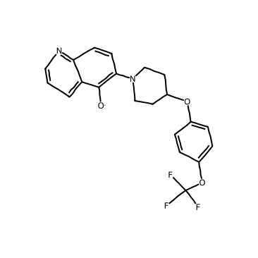 [O]c1c(N2CCC(Oc3ccc(OC(F)(F)F)cc3)CC2)ccc2ncccc12